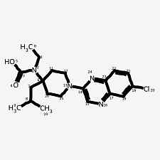 CCN(C(=O)O)C1(CC(C)C)CCN(c2cnc3cc(Cl)ccc3n2)CC1